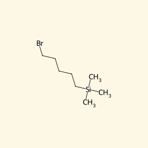 C[Si](C)(C)CCCCCBr